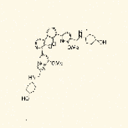 COc1nc(-c2cccc(-c3ccnc(-c4cc(OC)c5nc(CN[C@H]6CC[C@@H](O)CC6)cn5c4)c3Cl)c2Cl)ccc1CN[C@H]1CC[C@H](O)CC1